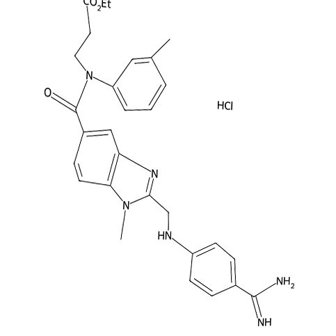 CCOC(=O)CCN(C(=O)c1ccc2c(c1)nc(CNc1ccc(C(=N)N)cc1)n2C)c1cccc(C)c1.Cl